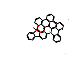 CC1(C)c2ccccc2-c2ccc(N(c3ccccc3-c3ccccc3)c3ccccc3-c3cccc4cccc(-c5ccccc5)c34)cc21